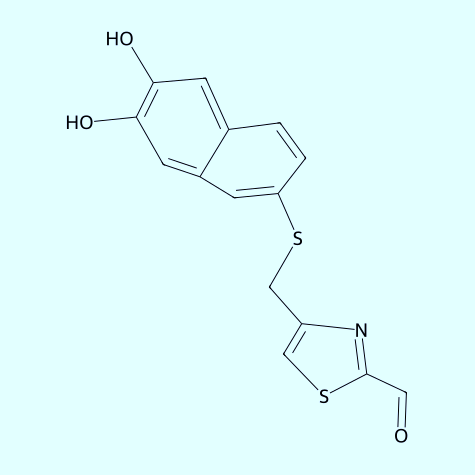 O=Cc1nc(CSc2ccc3cc(O)c(O)cc3c2)cs1